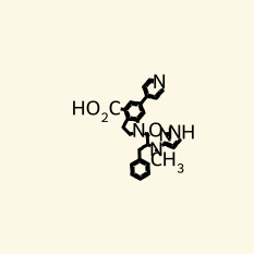 CN(c1cc[nH]n1)C(Cc1ccccc1)C(=O)N1CCc2c(C(=O)O)cc(-c3ccncc3)cc21